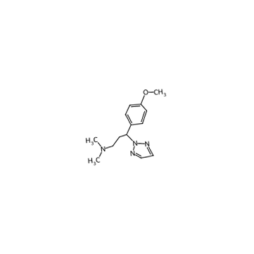 COc1ccc(C(CCN(C)C)n2nccn2)cc1